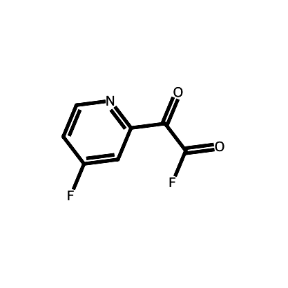 O=C(F)C(=O)c1cc(F)ccn1